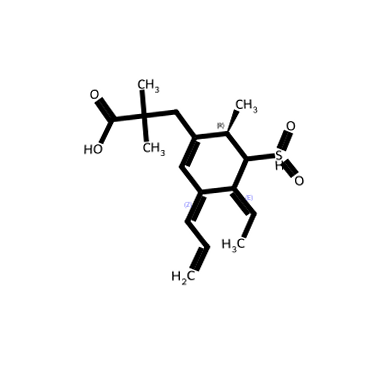 C=C/C=C1/C=C(CC(C)(C)C(=O)O)[C@@H](C)C([SH](=O)=O)/C1=C/C